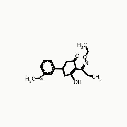 CCO/N=C(/CC)C1=C(O)CC(c2cccc(SC)c2)CC1=O